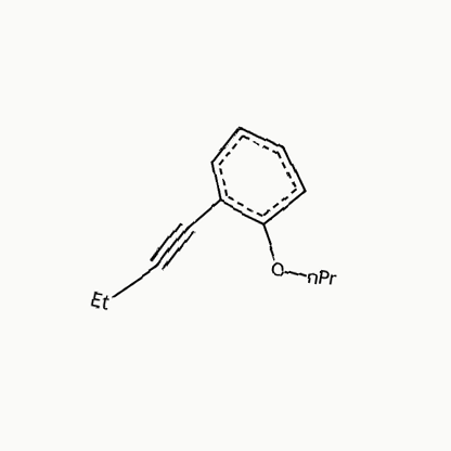 CCC#Cc1ccccc1OCCC